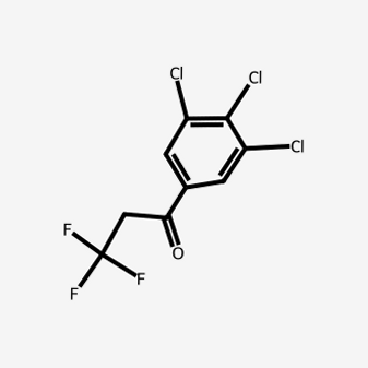 O=C(CC(F)(F)F)c1cc(Cl)c(Cl)c(Cl)c1